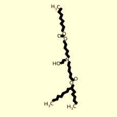 CCCCCCCCCOC(=O)OCCCCCCN(CCO)CCCCCCC(=O)OCC(CCCCCC)CCCCCCCC